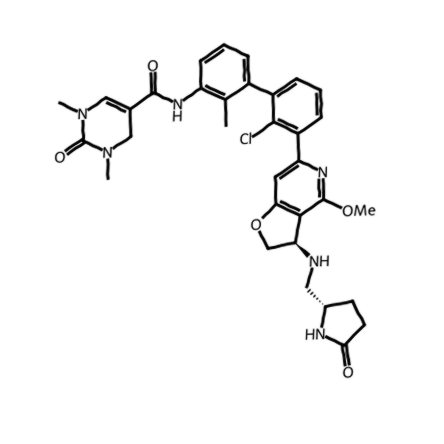 COc1nc(-c2cccc(-c3cccc(NC(=O)C4=CN(C)C(=O)N(C)C4)c3C)c2Cl)cc2c1[C@@H](NC[C@@H]1CCC(=O)N1)CO2